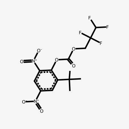 CC(C)(C)c1cc([N+](=O)[O-])cc([N+](=O)[O-])c1OC(=O)OCC(F)(F)C(F)F